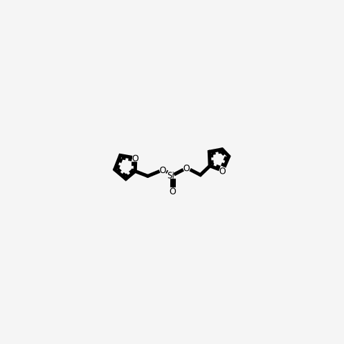 O=[Si](OCc1ccco1)OCc1ccco1